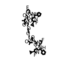 Cc1cn(CC(=O)N2C[C@H](F)C[C@H]2C(=O)N[C@@H](c2ccccc2)c2ccc(C3CC3)c(F)n2)c(=O)n(CCOCCOCCn2c(=O)c(C)cn(CC(=O)N3C[C@H](F)C[C@H]3C(=O)N[C@@H](c3ccccc3)c3ccc(C4CC4)c(F)n3)c2=O)c1=O